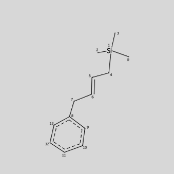 C[Si](C)(C)CC=CCc1ccccc1